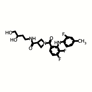 Cc1ccc(Nc2c(C(=O)N3CC(C(=O)NCCC(O)CO)C3)ccc(F)c2F)c(F)c1